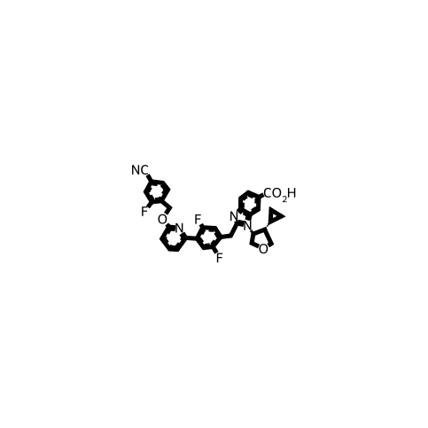 N#Cc1ccc(COc2cccc(-c3cc(F)c(Cc4nc5ccc(C(=O)O)cc5n4[C@@H]4COC[C@H]4C4CC4)cc3F)n2)c(F)c1